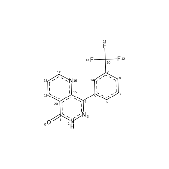 O=c1[nH]nc(-c2cccc(C(F)(F)F)c2)c2ncccc12